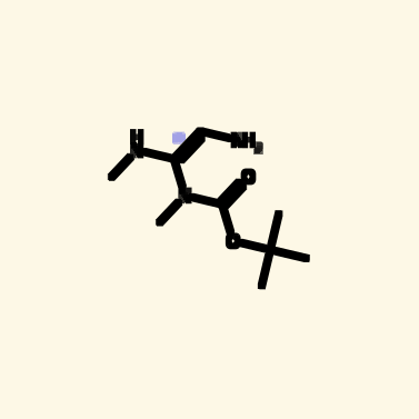 CN/C(=C/N)N(C)C(=O)OC(C)(C)C